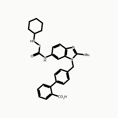 CCCCc1nc2ccc(NC(=O)SNC3CCCCC3)cc2n1Cc1ccc(-c2ccccc2C(=O)O)cc1